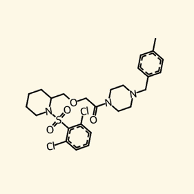 Cc1ccc(CN2CCN(C(=O)COCC3CCCCN3S(=O)(=O)c3c(Cl)cccc3Cl)CC2)cc1